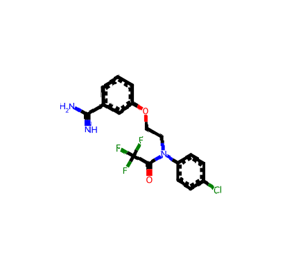 N=C(N)c1cccc(OCCN(C(=O)C(F)(F)F)c2ccc(Cl)cc2)c1